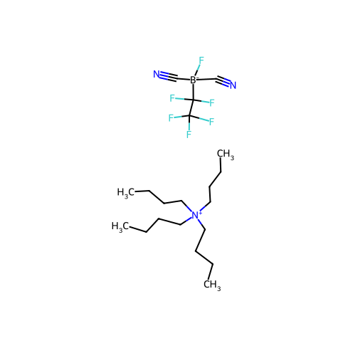 CCCC[N+](CCCC)(CCCC)CCCC.N#C[B-](F)(C#N)C(F)(F)C(F)(F)F